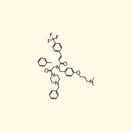 CN(C)CCCOc1ccc(CN(C(=O)C=Cc2ccc(C(F)(F)F)cc2)[C@@H](Cc2ccccc2)C(=O)N2CCN(Cc3ccccc3)CC2)cc1